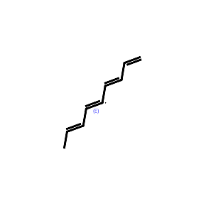 C=CC=C/[C]=C/C=CC